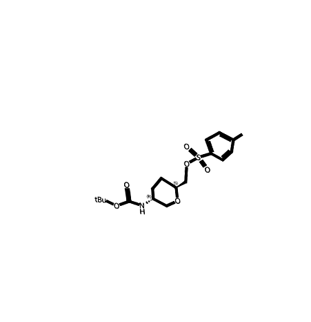 Cc1ccc(S(=O)(=O)OC[C@@H]2CC[C@@H](NC(=O)OC(C)(C)C)CO2)cc1